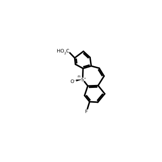 O=C(O)c1ccc2c(c1)[S@+]([O-])c1cc(F)ccc1C=C2